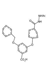 CC(=O)NNC(=O)c1ccc(Oc2cc(OCc3ccccc3)cc(C(=O)O)c2)cc1